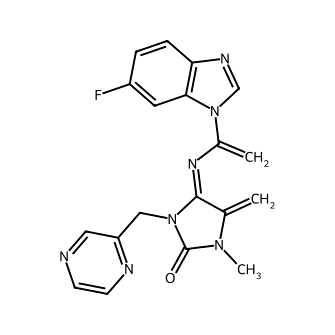 C=C1/C(=N\C(=C)n2cnc3ccc(F)cc32)N(Cc2cnccn2)C(=O)N1C